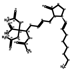 CCCCCCC=C[C@H]1CCC(=O)[C@@H]1CC=CCC(OC(C)=O)C(OC(C)=O)(OC(C)=O)C(=O)O